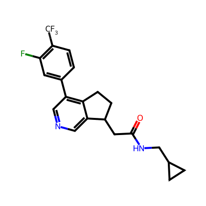 O=C(CC1CCc2c(-c3ccc(C(F)(F)F)c(F)c3)cncc21)NCC1CC1